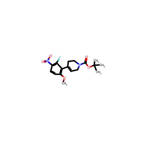 COc1ccc([N+](=O)[O-])c(F)c1C1=CCN(C(=O)OC(C)(C)C)CC1